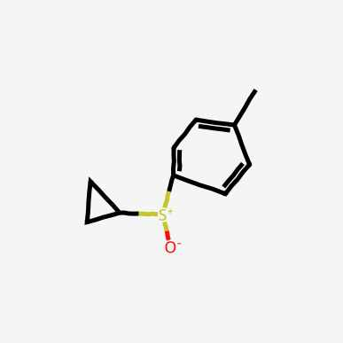 Cc1ccc([S+]([O-])C2CC2)cc1